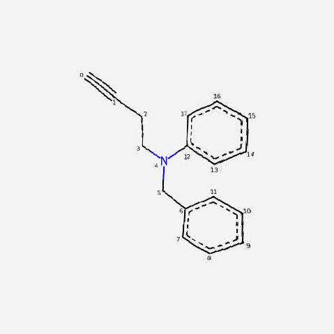 C#CCCN(Cc1ccccc1)c1ccccc1